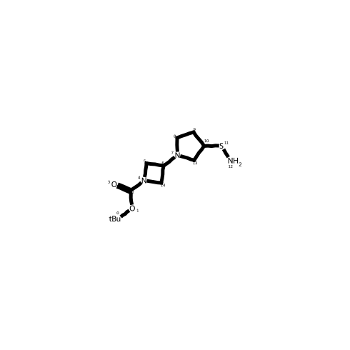 CC(C)(C)OC(=O)N1CC(N2CCC(SN)C2)C1